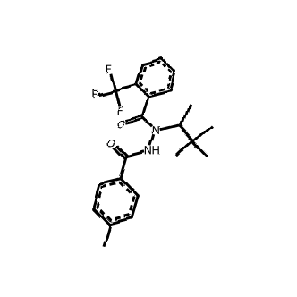 Cc1ccc(C(=O)NN(C(=O)c2ccccc2C(F)(F)F)C(C)C(C)(C)C)cc1